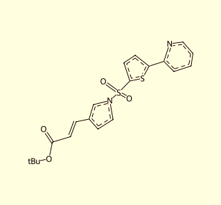 CC(C)(C)OC(=O)/C=C/c1ccn(S(=O)(=O)c2ccc(-c3ccccn3)s2)c1